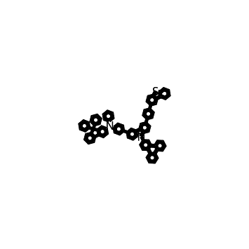 c1ccc(N(c2ccc(-c3ccc4c(c3)c3cc(-c5ccc(-c6ccc7sc8ccccc8c7c6)cc5)ccc3n4-c3ccc4c5ccccc5c5ccccc5c4c3)cc2)c2ccc3c(c2)C(c2ccccc2)(c2ccccc2)c2ccccc2-3)cc1